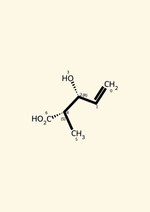 C=C[C@@H](O)[C@H](C)C(=O)O